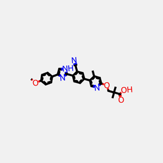 COc1ccc(-c2c[nH]c(-c3ccc(-c4cnc(OCC(C)(C)C(=O)O)cc4C)cc3C#N)n2)cc1